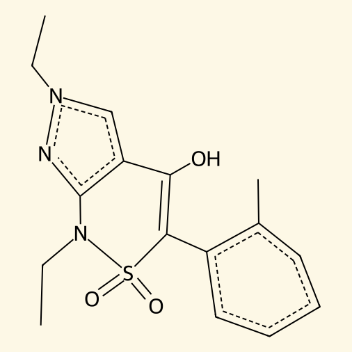 CCN1c2nn(CC)cc2C(O)=C(c2ccccc2C)S1(=O)=O